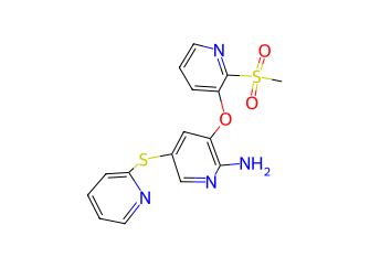 CS(=O)(=O)c1ncccc1Oc1cc(Sc2ccccn2)cnc1N